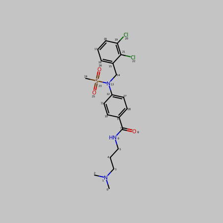 CN(C)CCCNC(=O)c1ccc(N(Cc2cccc(Cl)c2Cl)S(C)(=O)=O)cc1